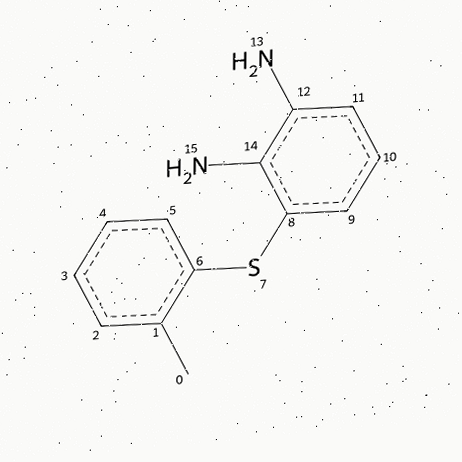 Cc1ccccc1Sc1cccc(N)c1N